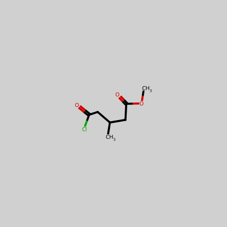 COC(=O)CC(C)CC(=O)Cl